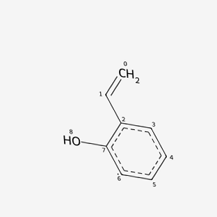 C=Cc1ccc[c]c1O